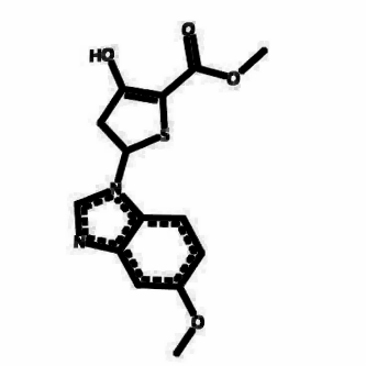 COC(=O)C1=C(O)CC(n2cnc3cc(OC)ccc32)S1